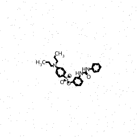 CCCN(CCC)c1ccc(S(=O)(=O)Oc2cccc(NC(=O)Nc3ccccc3)c2)cc1